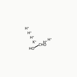 O=CO.[H+].[H+].[H+].[H+].[H+].[K+]